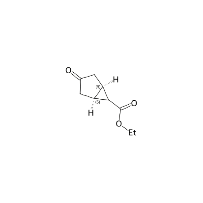 CCOC(=O)C1[C@H]2CC(=O)C[C@@H]12